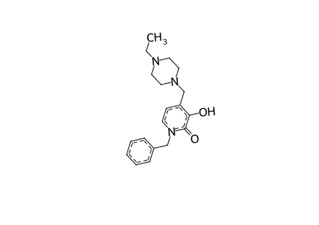 CCN1CCN(Cc2ccn(Cc3ccccc3)c(=O)c2O)CC1